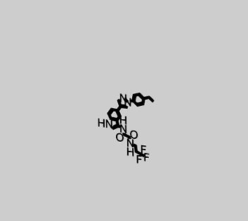 CCc1ccc(-n2cc(-c3ccc4[nH]cc(NC(=O)C(=O)NCCC(F)(F)F)c4c3)cn2)cc1